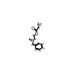 CC(=O)CC(=O)OCCN(C)Cc1ccccc1